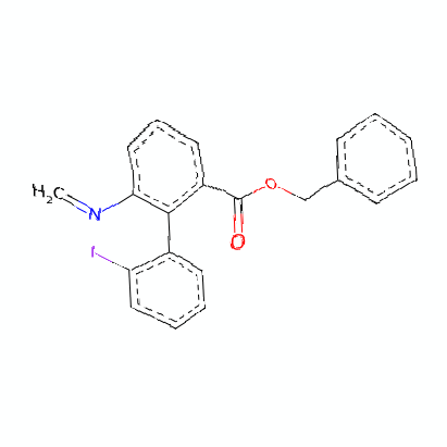 C=Nc1cccc(C(=O)OCc2ccccc2)c1-c1ccccc1I